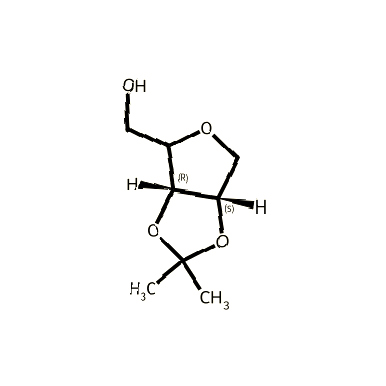 CC1(C)O[C@H]2COC(CO)[C@H]2O1